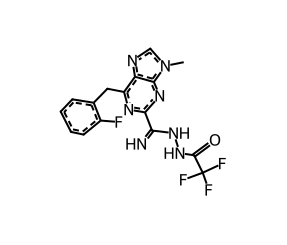 Cn1cnc2c(Cc3ccccc3F)nc(C(=N)NNC(=O)C(F)(F)F)nc21